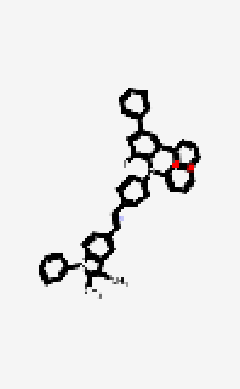 Cc1c(C)n(-c2ccccc2)c2ccc(/C=C/c3ccc(N(c4ccccc4)c4c(F)cc(-c5ccccc5)cc4-c4ccccc4)cc3)cc12